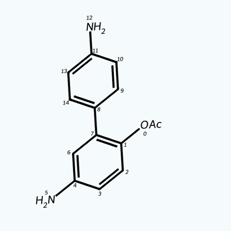 CC(=O)Oc1ccc(N)cc1-c1ccc(N)cc1